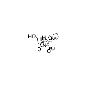 C[N+]1(CC2=C(C(=O)[O-])N3C(=O)[C@H](CCO)[C@H]3S2)CCCC1